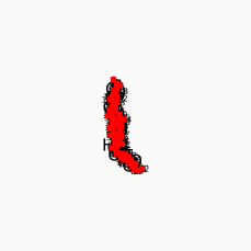 C#Cc1cccc(N2C(=O)c3ccc(C(c4ccc5c(c4)C(=O)N(C(C)(C)c4cccc(-c6cc(-c7ccccc7)c(-c7ccc(Oc8ccc(-c9c(-c%10ccccc%10)cc(-c%10cccc(N%11C(=O)c%12ccc(C(c%13ccc%14c(c%13)C(=O)N(C(C)(C)c%13cccc(C#C)c%13)C%14=O)(C(F)(F)F)C(F)(F)F)cc%12C%11=O)c%10)c([PH](=C)C)c9PC)cc8)cc7)c(-c7ccccc7)c6-c6ccccc6)c4)C5=O)(C(F)(F)F)C(F)(F)F)cc3C2=O)c1